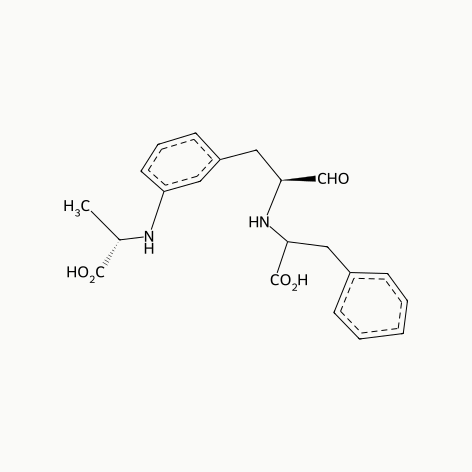 C[C@H](Nc1cccc(C[C@@H](C=O)NC(Cc2ccccc2)C(=O)O)c1)C(=O)O